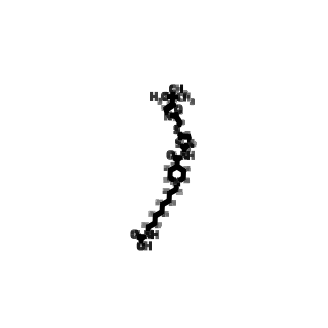 CC(C)(C)c1cnc(CSc2cnc(NC(=O)C3CCN(CCCCCCCCNC(=O)O)CC3)s2)o1